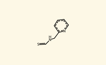 S=CNCc1ccccn1